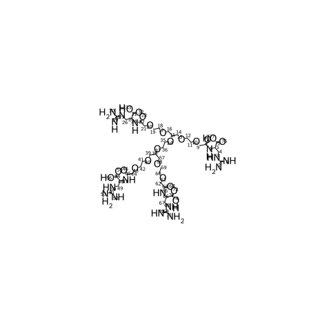 N=C(N)NCC(NC(=O)COCCOCC(COCCOCC(=O)NC(CNC(=N)N)C(=O)O)OCCOC(COCCOCC(=O)NC(CNC(=N)N)C(=O)O)COCCOCC(=O)NC(CNC(=N)N)C(=O)O)C(=O)O